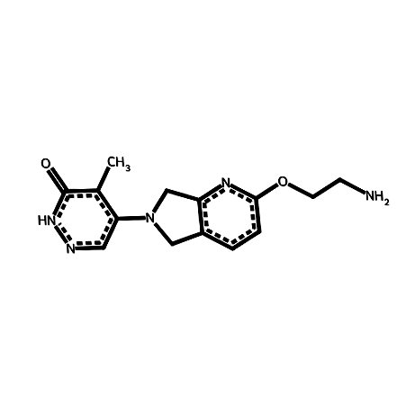 Cc1c(N2Cc3ccc(OCCN)nc3C2)cn[nH]c1=O